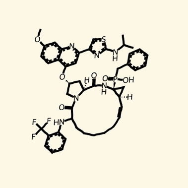 COc1ccc2c(O[C@@H]3C[C@H]4C(=O)N[C@]5(P(=O)(O)Cc6ccccc6)C[C@H]5/C=C\CCCCCC(Nc5ccccc5C(F)(F)F)C(=O)N4C3)cc(-c3csc(NC(C)C)n3)nc2c1